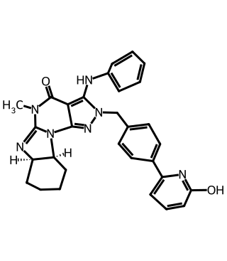 CN1C(=O)c2c(nn(Cc3ccc(-c4cccc(O)n4)cc3)c2Nc2ccccc2)N2C1=N[C@@H]1CCCC[C@@H]12